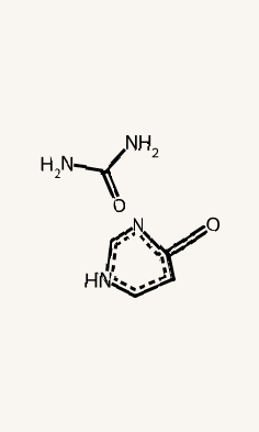 NC(N)=O.O=c1cc[nH]cn1